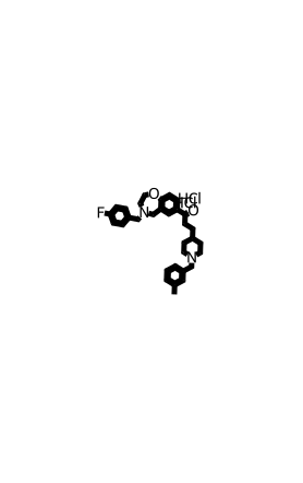 Cc1cccc(CN2CCC(CCC(=O)c3ccc4c(c3)CN(Cc3ccc(F)cc3)CCO4)CC2)c1.Cl.Cl